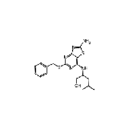 CC(C)CC(CO)Nc1nc(SCc2ccccc2)nc2nc(N)sc12